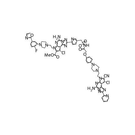 COC(=O)c1c(Cl)c2c(nc(N)n3nc(-c4ccc(CS(=O)(=O)NC(=O)COc5ccc(N6CCN(CCn7c(C#N)c(Cl)c8c7nc(N)n7nc(-c9ccccn9)nc87)CC6)cc5)cn4)nc23)n1CCN1CCN(c2cc(-c3ncco3)ccc2F)CC1